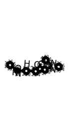 CC1(C)c2cc(-c3ccc(-c4nnc(-c5ccccc5)o4)cc3)ccc2-c2ccc(-c3nc4ccccc4nc3-c3ccccc3)cc21